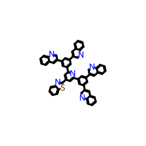 c1ccc2ncc(-c3cc(-c4cnc5ccccc5c4)cc(-c4cc(-c5nc6ccccc6s5)cc(-c5cc(-c6cnc7ccccc7c6)cc(-c6cnc7ccccc7c6)c5)n4)c3)cc2c1